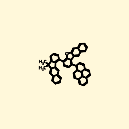 CC1(C)c2cc3ccccc3cc2-c2c(-c3ccc(-c4ccc5ccc6cccc7ccc4c5c67)c4c3oc3cc5ccccc5cc34)cccc21